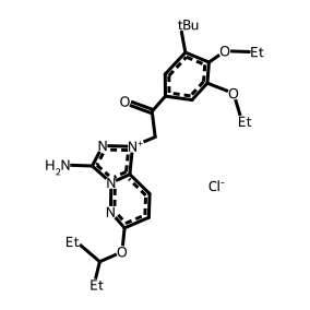 CCOc1cc(C(=O)C[n+]2nc(N)n3nc(OC(CC)CC)ccc32)cc(C(C)(C)C)c1OCC.[Cl-]